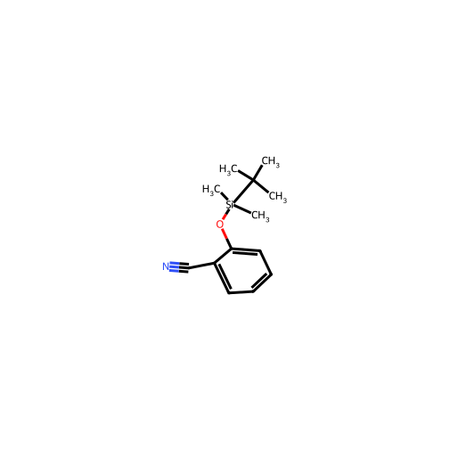 CC(C)(C)[Si](C)(C)Oc1ccccc1C#N